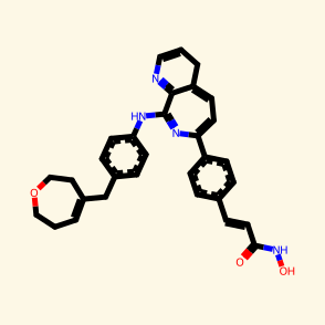 O=C(/C=C/c1ccc(C2=CC=C3CC=CN=C3C(Nc3ccc(CC4=CCCOCC4)cc3)=N2)cc1)NO